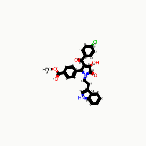 COC(=O)c1ccc(C2C(C(=O)c3ccc(Cl)cc3)=C(O)C(=O)N2CCc2c[nH]c3ccccc23)cc1